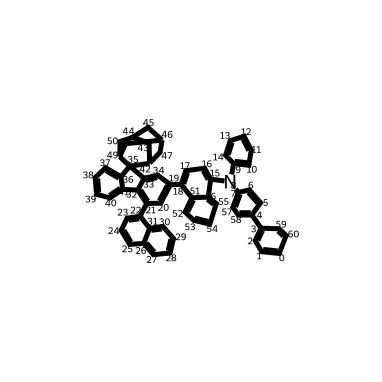 c1ccc(-c2ccc(N(c3ccccc3)c3ccc(-c4cc(-c5cccc6ccccc56)c5c(c4)C4(c6ccccc6-5)C5CC6CC(C5)CC4C6)c4ccccc34)cc2)cc1